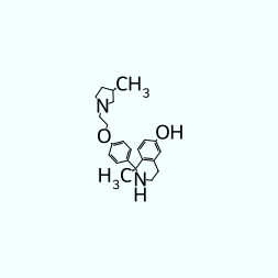 C[C@@H]1CCN(CCOc2ccc([C@@]3(C)NCCc4cc(O)ccc43)cc2)C1